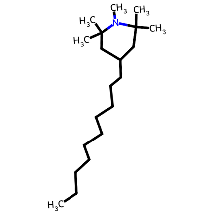 CCCCCCCCCCC1CC(C)(C)N(C)C(C)(C)C1